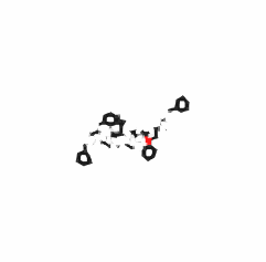 C[C@H](CN(C(=O)OC(C)(C)C)[C@H](C(=O)N(C)[C@H](C)C(=O)N[C@H](Cc1ccc(F)cc1)C(=O)OCc1ccccc1)C1CC1)Oc1ccccc1CCCNC(=O)OCc1ccccc1